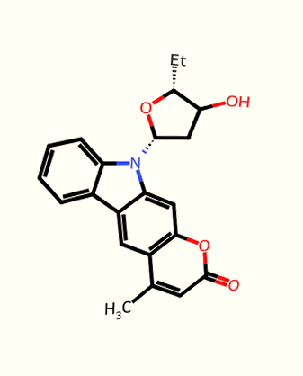 CC[C@H]1O[C@@H](n2c3ccccc3c3cc4c(C)cc(=O)oc4cc32)CC1O